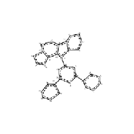 c1ccc(-c2cc(-n3c4ccccc4c4ccc5ccoc5c43)cc(-c3ccccc3)n2)cc1